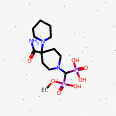 CCOP(=O)(O)C(N1CCC(C(N)=O)(N2CCCCC2)CC1)P(=O)(O)O